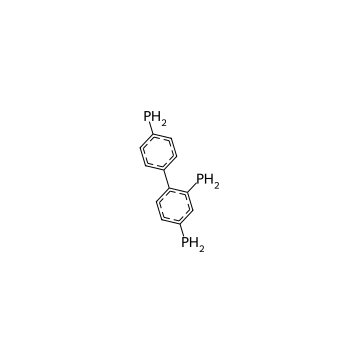 Pc1ccc(-c2ccc(P)cc2P)cc1